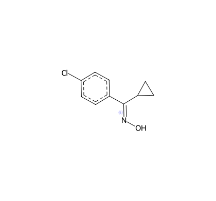 O/N=C(/c1ccc(Cl)cc1)C1CC1